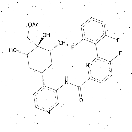 CC(=O)OC[C@]1(O)[C@H](C)C[C@H](c2ccncc2NC(=O)c2ccc(F)c(-c3c(F)cccc3F)n2)C[C@@H]1O